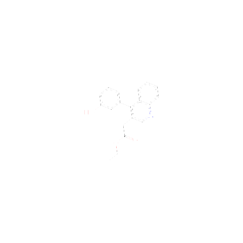 CCOC(=O)Cc1cnc2ccccc2c1-c1cccc(O)c1